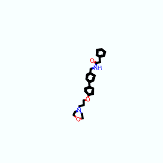 O=C(Cc1ccccc1)NCc1ccc(-c2ccc(OCCCN3CCOCC3)cc2)cc1